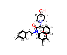 Cc1ccc(CCN(C(=O)C(c2ccccc2)N2CCC(O)CC2)c2ccc(C)c(C)c2)cc1